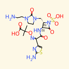 CC(C)(ON=C(C(=O)N[C@@H]1C(=O)N(S(=O)(=O)O)[C@H]1CN1CCN(CCN)C1=O)c1csc(N)n1)C(=O)O